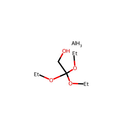 CCOC(CO)(OCC)OCC.[AlH3]